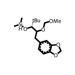 COCOC(Cc1ccc2c(c1)OCO2)[C@H](O[SiH](C)C)C(C)(C)C